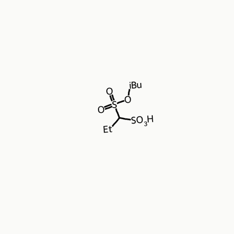 CCC(C)OS(=O)(=O)C(CC)S(=O)(=O)O